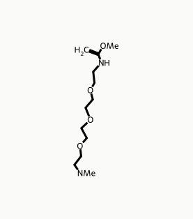 C=C(NCCOCCOCCOCCNC)OC